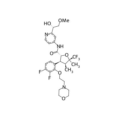 COC[C@@H](O)c1cc(NC(=O)[C@@H]2O[C@@](C)(C(F)(F)F)[C@@H](C)[C@H]2c2ccc(F)c(F)c2OCCN2CCOCC2)ccn1